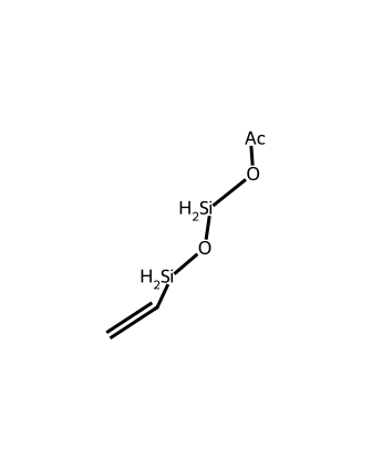 C=C[SiH2]O[SiH2]OC(C)=O